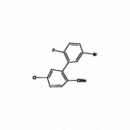 COc1ccc(Cl)cc1-c1cc(Br)ccc1F